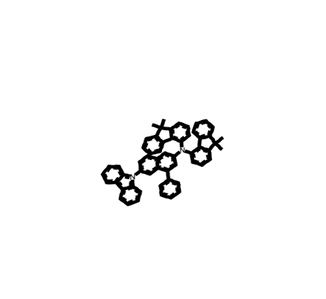 CC1(C)c2ccccc2-c2c(N(c3cc(-c4ccccc4)c4cc(-n5c6ccccc6c6ccccc65)ccc4c3)c3cccc4c3-c3ccccc3C4(C)C)cccc21